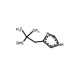 CC(C)(C=O)Cc1c[nH]cn1